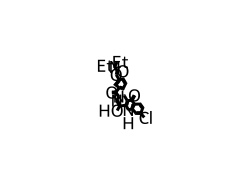 CCN(CC)C(=O)Oc1cccc(C(=O)N2Cc3c([nH]c4cc(Cl)ccc4c3=O)C(O)=N2)c1